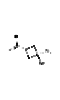 C[C@]1(O)C[C@H](C(=O)O)C1